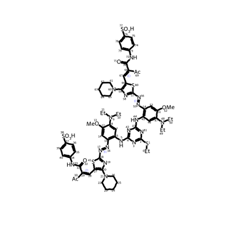 CCSc1nc(Nc2cc(N(CC)CC)c(OC)cc2/N=N/c2nc(N3CCCCC3)c(/C=C(/C(C)=O)C(=O)Nc3ccc(S(=O)(=O)O)cc3)s2)nc(Nc2cc(N(CC)CC)c(OC)cc2/N=N/c2nc(N3CCCCC3)c(/C=C(\C(C)=O)C(=O)Nc3ccc(S(=O)(=O)O)cc3)s2)n1